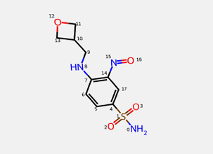 NS(=O)(=O)c1ccc(NCC2COC2)c(N=O)c1